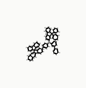 c1ccc(-c2cccc(N(c3ccc(-c4ccc5c(c4)C4(c6ccccc6-c6ccccc64)c4cc6ccccc6cc4-5)cc3)c3ccc4c(c3)C(c3ccccc3)(c3ccccc3)c3ccccc3-4)c2)cc1